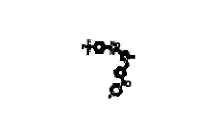 Cc1cc(-c2nc(-c3ccc(C(F)(F)F)cc3)no2)cn1Cc1cccc(C(=O)N2CCN(C)CC2)c1